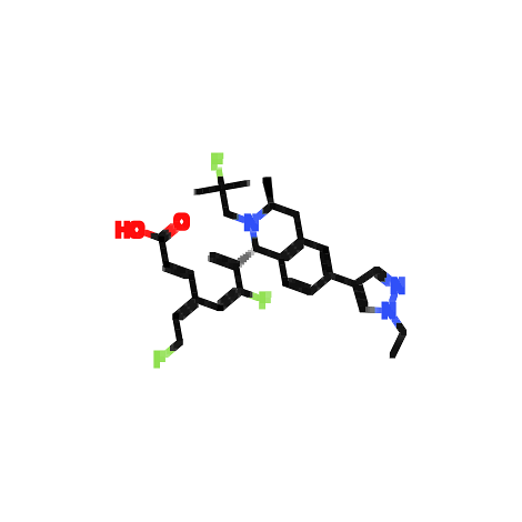 C=C(\C(F)=C/C(=C\CF)/C=C/C(=O)O)[C@H]1c2ccc(-c3cnn(CC)c3)cc2C[C@H](C)N1CC(C)(C)F